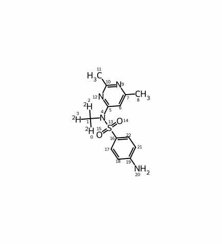 [2H]C([2H])([2H])N(c1cc(C)nc(C)n1)S(=O)(=O)c1ccc(N)cc1